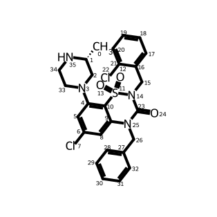 C[C@@H]1CN(c2cc(Cl)cc3c2S(=O)(=O)N(Cc2ccccc2Cl)C(=O)N3Cc2ccccc2)CCN1